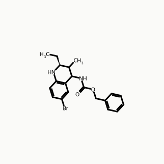 CC[C@@H]1Nc2ccc(Br)cc2C(NC(=O)OCc2ccccc2)C1C